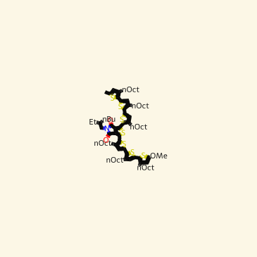 CCCCCCCCc1cc(C)sc1-c1cc(CCCCCCCC)c(-c2cc(CCCCCCCC)c(-c3sc(-c4sc(-c5sc(-c6sc(OC)cc6CCCCCCCC)cc5CCCCCCCC)cc4CCCCCCCC)c4c3C(=O)N(CC(CC)CCCC)C4=O)s2)s1